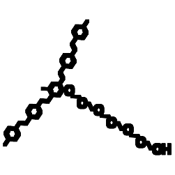 Cc1ccc(/C=C/c2ccc(/C=C/c3cc(OCCOCCOCCOCCOCCOCCO)c(/C=C/c4ccc(/C=C/c5ccc(C)cc5)cc4)cc3C)cc2)cc1